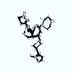 C[C@@H]1COCCN1c1cc(N2CC(c3ccnn3C)C2)c2cnn(-c3cc[nH]n3)c2n1